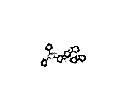 c1ccc(C2=NC(c3ccc4sc5cc6c(cc5c4c3)oc3cccc(-n4c5ccccc5c5ccccc54)c36)NC(c3ccccc3)=N2)cc1